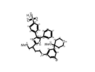 CNCC(CCOc1cc(F)cc(C2(OC)CCOCC2)c1)c1nc(-c2ccc(S(N)(=O)=O)cc2)c(-c2ccccc2)o1